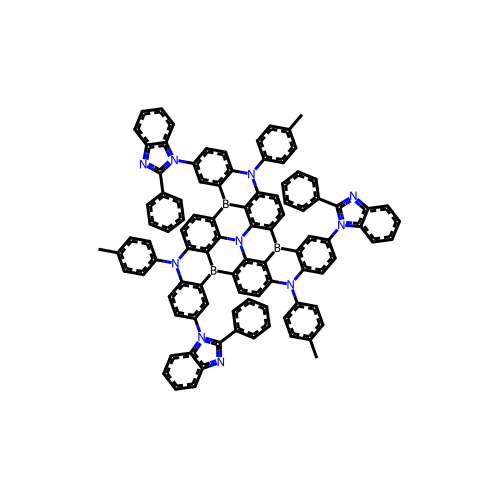 Cc1ccc(N2c3ccc(-n4c(-c5ccccc5)nc5ccccc54)cc3B3c4ccc5c6c4N4c7c(ccc2c73)B2c3cc(-n7c(-c8ccccc8)nc8ccccc87)ccc3N(c3ccc(C)cc3)c3ccc(c4c32)B6c2cc(-n3c(-c4ccccc4)nc4ccccc43)ccc2N5c2ccc(C)cc2)cc1